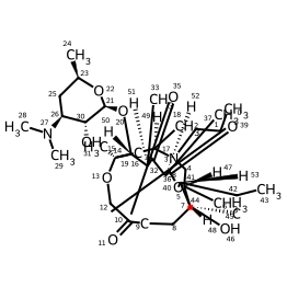 CCCN1C[C@H](C)[C@H]2CCC(=O)CO[C@](C)(C[C@H]1C)[C@H](O[C@@H]1O[C@H](C)C[C@H](N(C)C)[C@H]1O)[C@@H](C)C(=O)[C@@H](C)C(=O)O[C@H](CC)[C@@]2(C)O